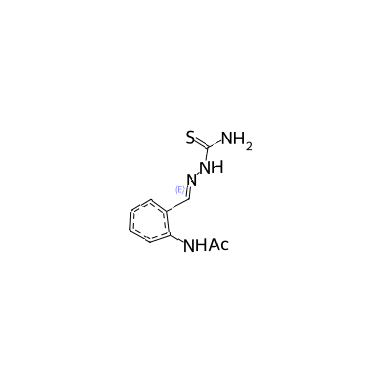 CC(=O)Nc1ccccc1/C=N/NC(N)=S